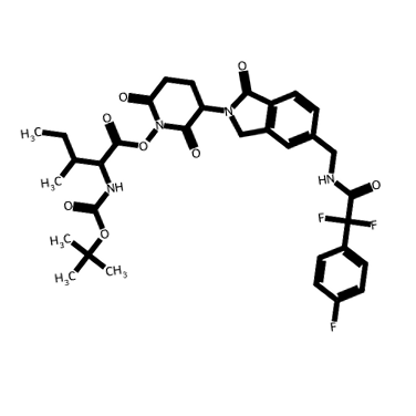 CCC(C)C(NC(=O)OC(C)(C)C)C(=O)ON1C(=O)CCC(N2Cc3cc(CNC(=O)C(F)(F)c4ccc(F)cc4)ccc3C2=O)C1=O